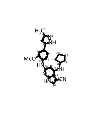 COc1cc(-c2cc(C)n[nH]2)ccc1Nc1cc(NC2CCCC2)c2c(C#N)c[nH]c2n1